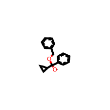 [O]C(OCc1ccccc1)(c1ccccc1)C1CC1